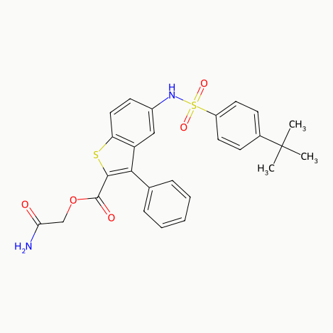 CC(C)(C)c1ccc(S(=O)(=O)Nc2ccc3sc(C(=O)OCC(N)=O)c(-c4ccccc4)c3c2)cc1